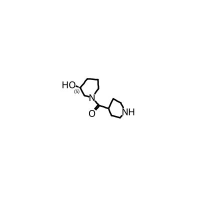 O=C(C1CCNCC1)N1CCC[C@H](O)C1